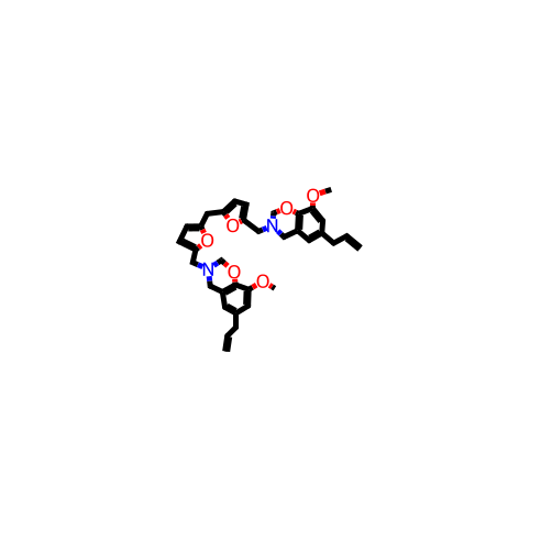 C=CCc1cc2c(c(OC)c1)OCN(Cc1ccc(Cc3ccc(CN4COc5c(cc(CC=C)cc5OC)C4)o3)o1)C2